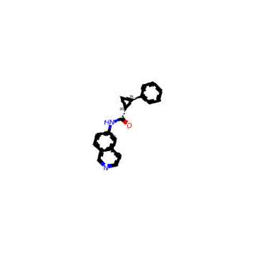 O=C(Nc1ccc2cnccc2c1)[C@@H]1C[C@H]1c1ccccc1